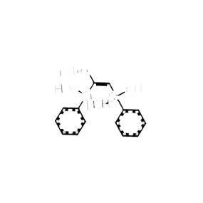 CCCCCC/C(=C/[Si](C)(C)c1ccccc1)[Si](C)(C)c1ccccc1